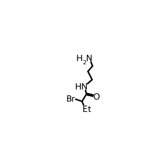 CCC(Br)C(=O)NCCCN